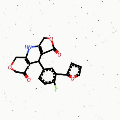 O=C1COCC2=C1C(c1ccc(F)c(-c3ccco3)c1)C1=C(COC1=O)N2